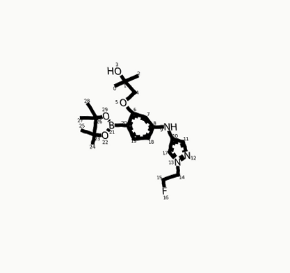 CC(C)(O)COc1cc(Nc2cnn(CCF)c2)ccc1B1OC(C)(C)C(C)(C)O1